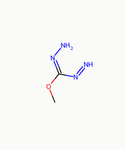 COC(N=N)=NN